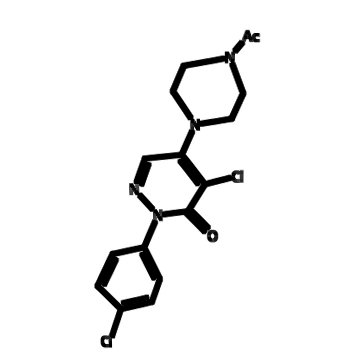 CC(=O)N1CCN(c2cnn(-c3ccc(Cl)cc3)c(=O)c2Cl)CC1